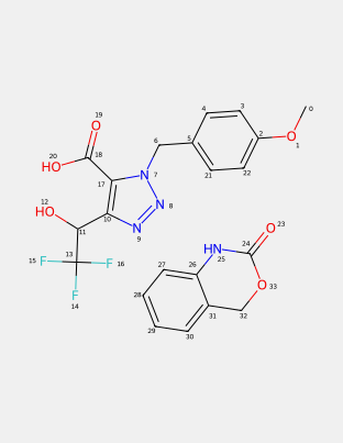 COc1ccc(Cn2nnc(C(O)C(F)(F)F)c2C(=O)O)cc1.O=C1Nc2ccccc2CO1